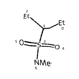 CCC(CC)S(=O)(=O)[N]C